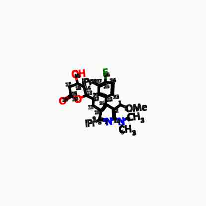 COCc1c(N(C)C)nc(C(C)C)c(CCC2CC(O)CC(=O)O2)c1-c1ccc(F)c(C(C)C)c1